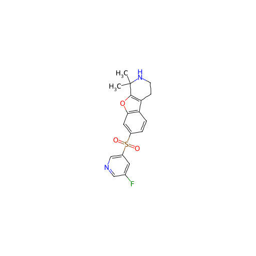 CC1(C)NCCc2c1oc1cc(S(=O)(=O)c3cncc(F)c3)ccc21